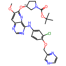 COc1cc2ncnc(Nc3ccc(OCc4cnccn4)c(Cl)c3)c2nc1O[C@H]1CCN(C(=O)OC(C)(C)C)C1